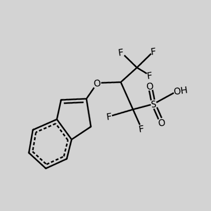 O=S(=O)(O)C(F)(F)C(OC1=Cc2ccccc2C1)C(F)(F)F